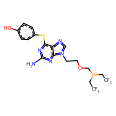 Nc1nc(Sc2ccc(O)cc2)c2ncn(CCOCP(CC(F)(F)F)CC(F)(F)F)c2n1